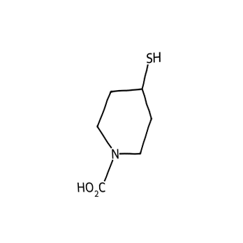 O=C(O)N1CCC(S)CC1